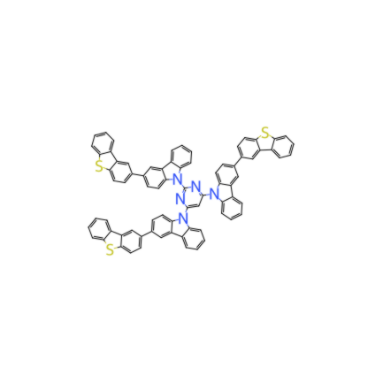 c1ccc2c(c1)sc1ccc(-c3ccc4c(c3)c3ccccc3n4-c3cc(-n4c5ccccc5c5cc(-c6ccc7sc8ccccc8c7c6)ccc54)nc(-n4c5ccccc5c5cc(-c6ccc7sc8ccccc8c7c6)ccc54)n3)cc12